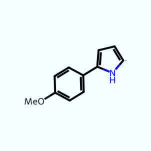 COc1ccc(-c2cc[c][nH]2)cc1